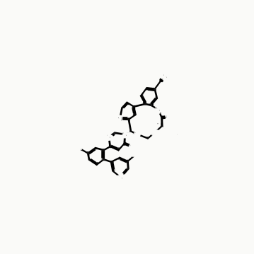 C[C@@H]1CCC[C@H](n2cnc(-c3cc(Cl)ccc3-c3cncc(F)c3)cc2=O)c2cc(ccn2)-c2ccc(C#N)cc2NC1=O